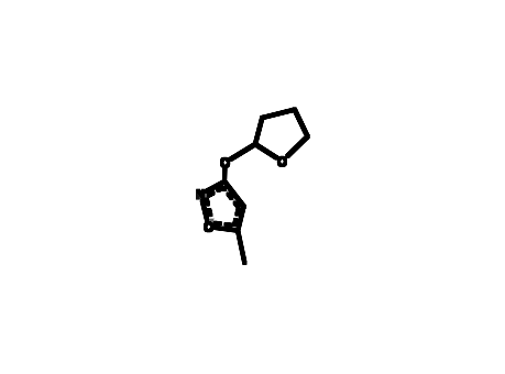 Cc1cc(OC2CCCO2)no1